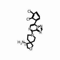 N[C@@H]1COCC12CCN(c1ncc(-c3cccc(Cl)c3Cl)n3ncnc13)CC2